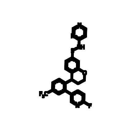 Fc1ccc(-c2cc(C(F)(F)F)ccc2C2CCOc3cc(SNc4ccncn4)ccc32)cn1